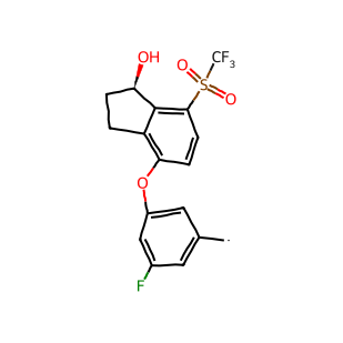 [CH2]c1cc(F)cc(Oc2ccc(S(=O)(=O)C(F)(F)F)c3c2CC[C@H]3O)c1